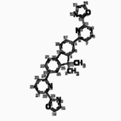 CC1(C)c2cc(-c3cccc(-c4ncco4)n3)ccc2-c2ccc(-c3cccc(-c4ncco4)n3)cc21